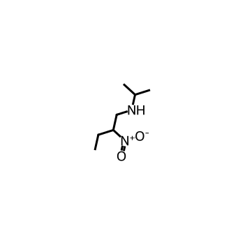 CCC(CNC(C)C)[N+](=O)[O-]